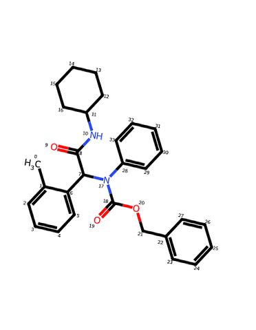 Cc1ccccc1C(C(=O)NC1CCCCC1)N(C(=O)OCc1ccccc1)c1ccccc1